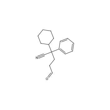 N#CC(CCC=O)(c1ccccc1)C1CCCCC1